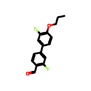 CCCOc1ccc(-c2ccc(C=O)c(F)c2)cc1F